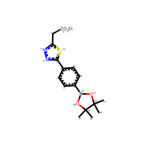 CCOC(=O)Cc1nnc(-c2ccc(B3OC(C)(C)C(C)(C)O3)cc2)s1